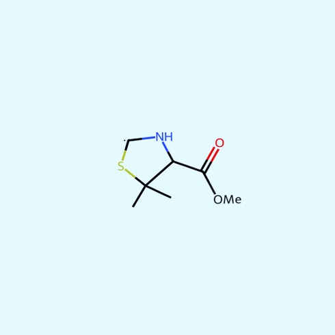 COC(=O)C1N[CH]SC1(C)C